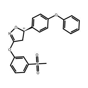 CS(=O)(=O)c1cccc(OC2=NO[C@@H](c3ccc(Oc4ccccc4)cc3)C2)c1